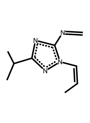 C=Nc1nc(C(C)C)nn1/C=C\C